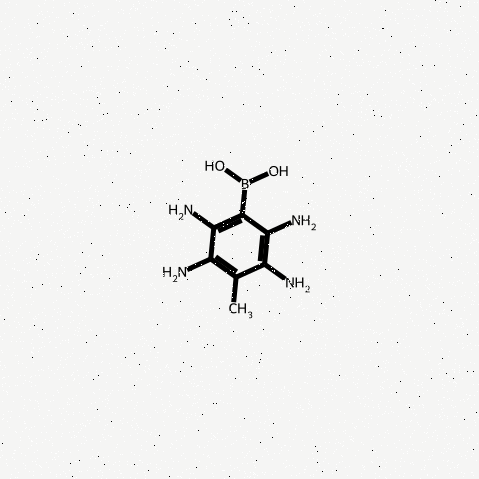 Cc1c(N)c(N)c(B(O)O)c(N)c1N